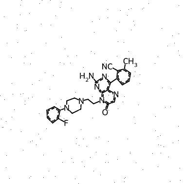 Cc1cccc(-c2nc(N)nc3c2ncc(=O)n3CCN2CCN(c3ccccc3F)CC2)c1C#N